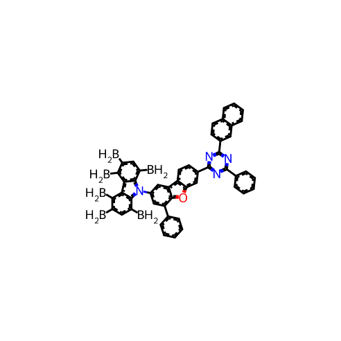 Bc1cc(B)c2c(c1B)c1c(B)c(B)cc(B)c1n2-c1cc(-c2ccccc2)c2oc3cc(-c4nc(-c5ccccc5)nc(-c5ccc6ccccc6c5)n4)ccc3c2c1